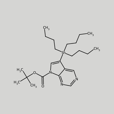 CCC[CH2][Sn]([CH2]CCC)([CH2]CCC)[c]1cn(C(=O)OC(C)(C)C)c2ncncc12